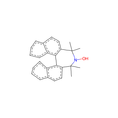 CC1(C)c2ccc3ccccc3c2-c2c(ccc3ccccc23)C(C)(C)N1O